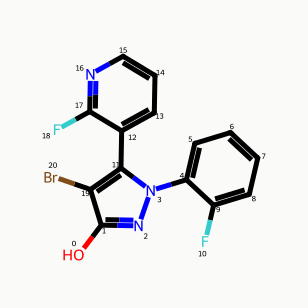 Oc1nn(-c2ccccc2F)c(-c2cccnc2F)c1Br